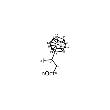 CCCCCCCCCC(I)[C]12[CH]3[CH]4[CH]5[CH]1[Fe]45321678[CH]2[CH]1[CH]6[CH]7[CH]28